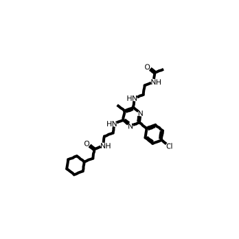 CC(=O)NCCNc1nc(-c2ccc(Cl)cc2)nc(NCCNC(=O)CC2CCCCC2)c1C